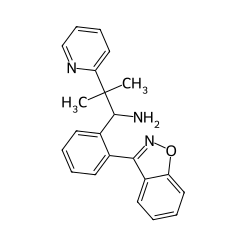 CC(C)(c1ccccn1)C(N)c1ccccc1-c1noc2ccccc12